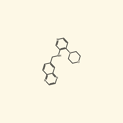 c1cc(N2CCOCC2)c(NCc2ccc3nccnc3c2)cn1